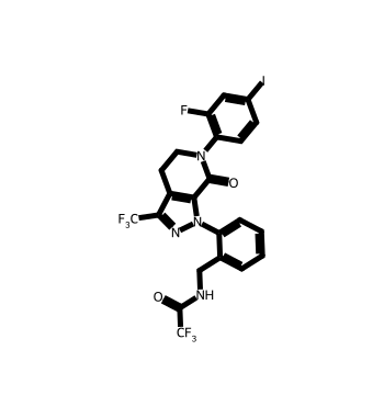 O=C1c2c(c(C(F)(F)F)nn2-c2ccccc2CNC(=O)C(F)(F)F)CCN1c1ccc(I)cc1F